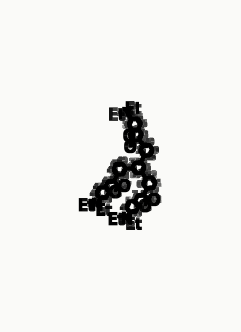 CCN(CC)c1ccc2cc(-c3cccc(-c4cc(-c5cccc(-c6cc7ccc(N(CC)CC)cc7oc6=O)c5)cc(-c5cccc(-c6cc7ccc(N(CC)CC)cc7oc6=O)c5)c4)c3)c(=O)oc2c1